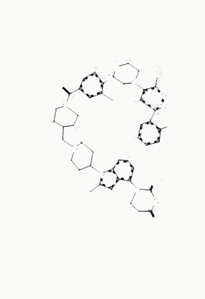 Cc1cc(C(=O)N2CCC(CN3CCC(n4c(C)cc5c(N6CCC(=O)NC6=O)cccc54)CC3)CC2)ccc1[C@@H]1CN(c2cc(-c3ccccc3O)nnc2N)CCO1